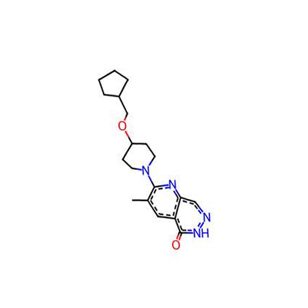 Cc1cc2c(=O)[nH]ncc2nc1N1CCC(OCC2CCCC2)CC1